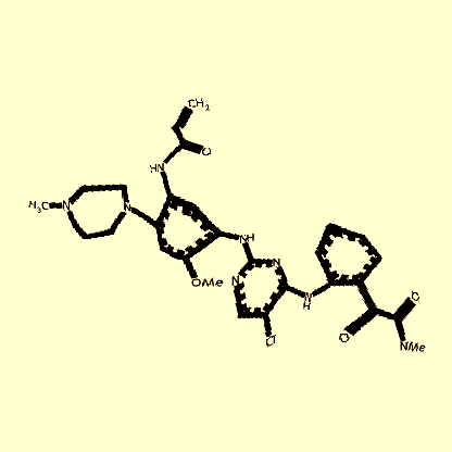 C=CC(=O)Nc1cc(Nc2ncc(Cl)c(Nc3ccccc3C(=O)C(=O)NC)n2)c(OC)cc1N1CCN(C)CC1